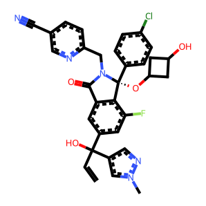 C=CC(O)(c1cc(F)c2c(c1)C(=O)N(Cc1ccc(C#N)cn1)[C@@]2(OC1CC(O)C1)c1ccc(Cl)cc1)c1cnn(C)c1